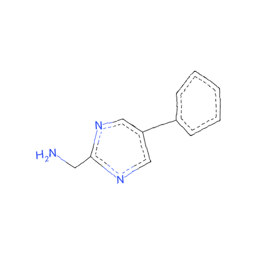 NCc1ncc(-c2ccccc2)cn1